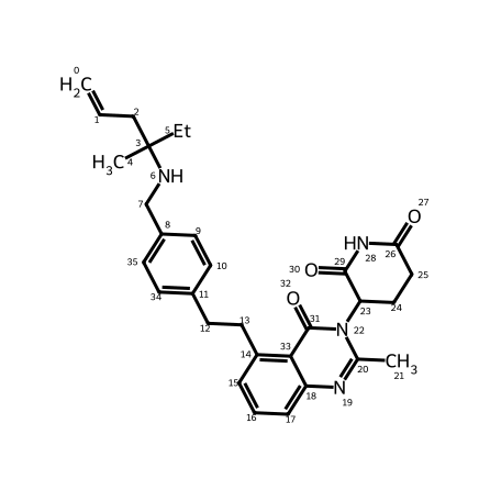 C=CCC(C)(CC)NCc1ccc(CCc2cccc3nc(C)n(C4CCC(=O)NC4=O)c(=O)c23)cc1